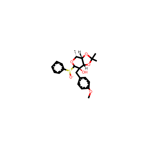 COc1ccc(C[C@]2(O)C([S+]([O-])c3ccccc3)O[C@H](C)[C@@H]3OC(C)(C)O[C@@H]32)cc1